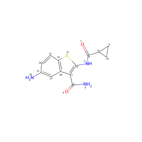 NC(=O)c1c(NC(=O)C2CC2)sc2ccc(N)cc12